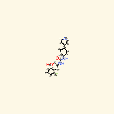 O=C(Nc1ccc(-c2ccncc2)cc1)N[C@@H](CO)Cc1ccccc1F